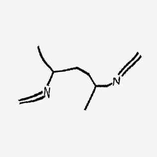 C=NC(C)CC(C)N=C